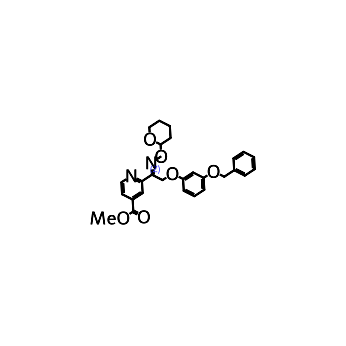 COC(=O)c1ccnc(/C(COc2cccc(OCc3ccccc3)c2)=N/OC2CCCCO2)c1